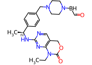 CCN1C(=O)OCc2cnc(N[C@@H](C)c3ccc(CN4CCN(BC=O)CC4)cc3)nc21